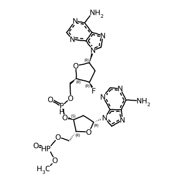 CO[PH](=O)OC[C@H]1O[C@@H](n2cnc3c(N)ncnc32)C[C@@H]1O[PH](=O)OC[C@H]1O[C@@H](n2cnc3c(N)ncnc32)C[C@H]1F